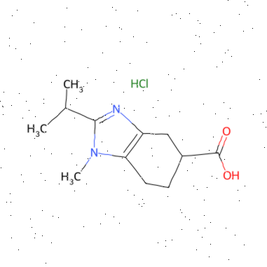 CC(C)c1nc2c(n1C)CCC(C(=O)O)C2.Cl